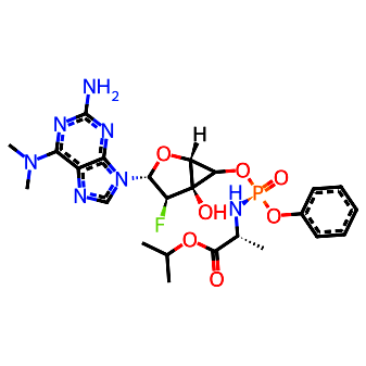 CC(C)OC(=O)[C@@H](C)N[P@@](=O)(Oc1ccccc1)OC1[C@H]2O[C@@H](n3cnc4c(N(C)C)nc(N)nc43)[C@H](F)[C@@]12O